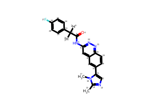 [2H]C([2H])(C(=O)Nc1cc2cc(-c3cnc(C)n3C)ccc2nn1)c1ccc(F)cc1